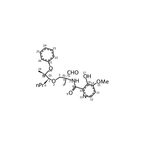 CCC[C@H](OC[C@@](C)(C=O)NC(=O)c1nccc(OC)c1O)[C@@H](C)Oc1ccccc1